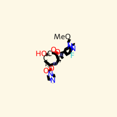 COCCn1cnc2c(F)cc(/C=C(\C)[C@H]3C(=O)C(=O)C[C@@H](O)CC[C@@H](C)[C@@H](OC(=O)N4CCN(C)CC4)/C=C/[C@@H]3C)cc21